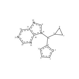 c1coc(C(C2CC2)n2cnc3cncnc32)c1